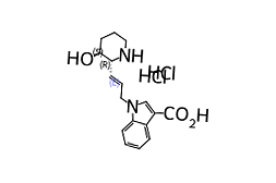 Cl.Cl.O=C(O)c1cn(C/C=C/[C@H]2NCCC[C@@H]2O)c2ccccc12